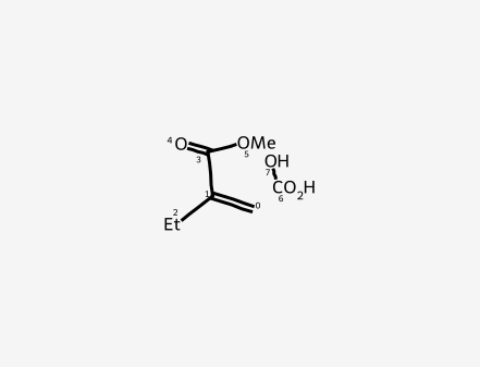 C=C(CC)C(=O)OC.O=C(O)O